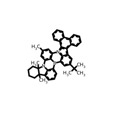 Cc1cc2c3c(c1)-n1c4c(cc(C(C)(C)C)cc4c4c5ccccc5c5ccccc5c41)B3c1cccc3c1N2C1(C)CCCCC31C